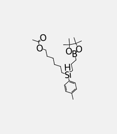 CC(=O)OCCCCCC[SiH](CCCB1OC(C)(C)C(C)(C)O1)c1ccc(C)cc1